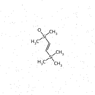 C[Si](C)(C)C=C[Si](C)(C)[O]